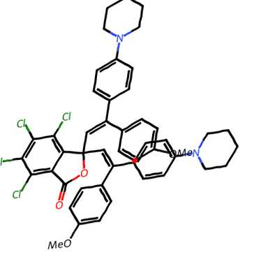 COc1ccc(/C(=C\C2(/C=C(\c3ccc(OC)cc3)c3ccc(N4CCCCC4)cc3)OC(=O)c3c(Cl)c(Cl)c(Cl)c(Cl)c32)c2ccc(N3CCCCC3)cc2)cc1